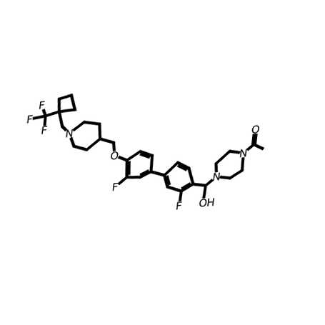 CC(=O)N1CCN(C(O)c2ccc(-c3ccc(OCC4CCN(CC5(C(F)(F)F)CCC5)CC4)c(F)c3)cc2F)CC1